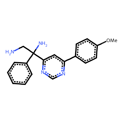 COc1ccc(-c2cc(C(N)(CN)c3ccccc3)ncn2)cc1